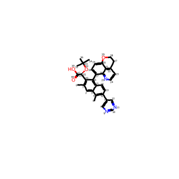 Cc1cc2c(C)c(-c3cncnc3)ccc2c(-c2ccc3c4c(ccnc24)CCO3)c1[C@H](OC(C)(C)C)C(=O)O